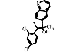 CC(c1ccc(Cl)cc1Cl)C(O)(c1ccc2ncccc2c1)C(F)(F)F